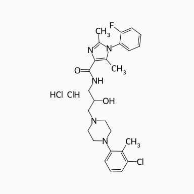 Cc1c(Cl)cccc1N1CCN(CC(O)CNC(=O)c2nc(C)n(-c3ccccc3F)c2C)CC1.Cl.Cl